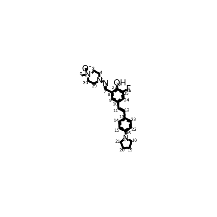 C[N+]1([O-])CCN(N=Cc2cc(/C=C/c3ccc(N4CCCC4)cc3)cc(F)c2O)CC1